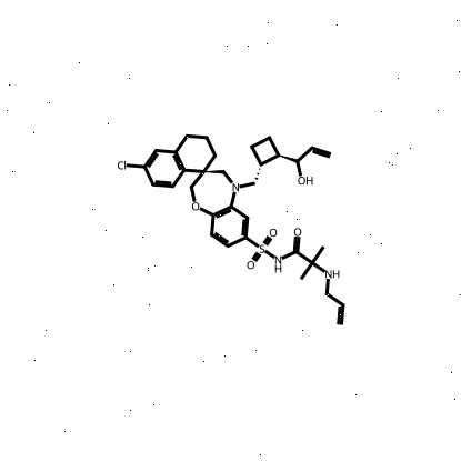 C=CCNC(C)(C)C(=O)NS(=O)(=O)c1ccc2c(c1)N(C[C@@H]1CC[C@H]1C(O)C=C)C[C@@]1(CCCc3cc(Cl)ccc31)CO2